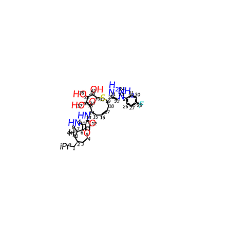 CC(C)C[C@@H]1CCO[C@@H]2[C@H](CN[C@@H]2C(=O)N[C@@H]2C/C=C\C[C@@H](/C(N)=C/N(N)c3ccc(F)cc3)SC3OC2C(O)C(O)C3O)C1